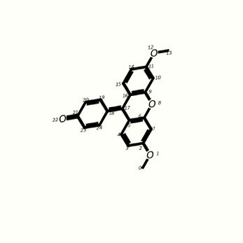 COc1ccc2c(c1)Oc1cc(OC)ccc1C2=C1C=CC(=O)C=C1